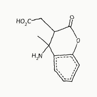 CC1(N)c2ccccc2OC(=O)C1CC(=O)O